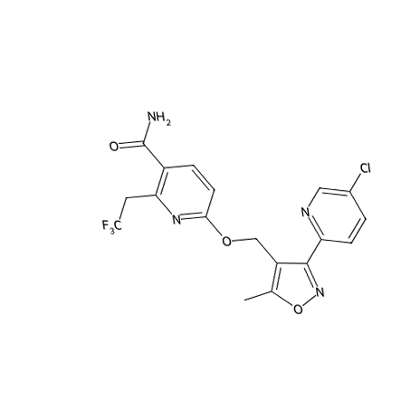 Cc1onc(-c2ccc(Cl)cn2)c1COc1ccc(C(N)=O)c(CC(F)(F)F)n1